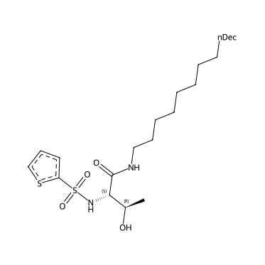 CCCCCCCCCCCCCCCCCCNC(=O)[C@@H](NS(=O)(=O)c1cccs1)[C@@H](C)O